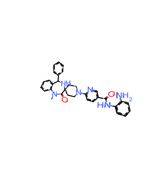 CN1C(=O)C2(CCN(c3ccc(C(=O)Nc4ccccc4N)cn3)CC2)NC(c2ccccc2)c2ccccc21